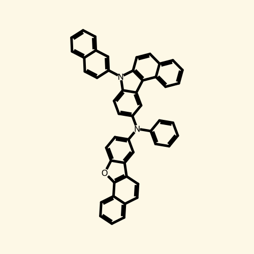 c1ccc(N(c2ccc3oc4c5ccccc5ccc4c3c2)c2ccc3c(c2)c2c4ccccc4ccc2n3-c2ccc3ccccc3c2)cc1